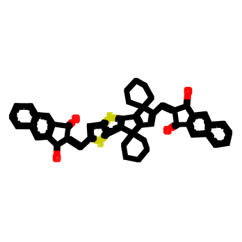 O=C1C(=CC2=CC3=C(c4sc5cc(C=C6C(=O)c7cc8ccccc8cc7C6=O)sc5c4C34CCCCC4)C23CCCCC3)C(=O)c2cc3ccccc3cc21